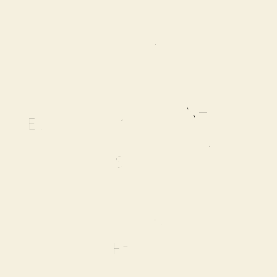 CCc1cccc2c1Sc1c(CC)cccc1N2